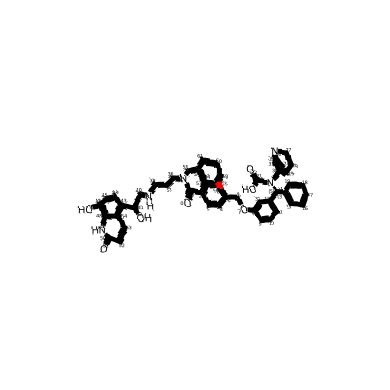 O=C(c1ccc(COc2cccc([C@H](c3ccccc3)N(C(=O)O)C3CN4CCC3CC4)c2)cc1)N(CCCNCC(O)c1ccc(O)c2[nH]c(=O)ccc12)Cc1ccccc1